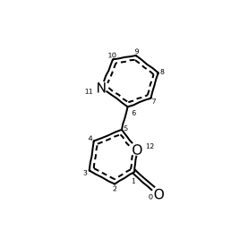 O=c1cccc(-c2ccccn2)o1